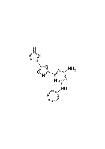 Nc1nc(Nc2ccccc2)nc(-c2noc(-c3cc[nH]n3)n2)n1